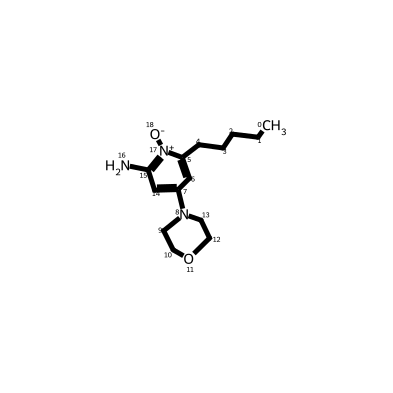 CCCCCc1cc(N2CCOCC2)cc(N)[n+]1[O-]